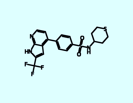 O=S(=O)(NC1CCSCC1)c1ccc(-c2ccnc3[nH]c(C(F)(F)F)cc23)cc1